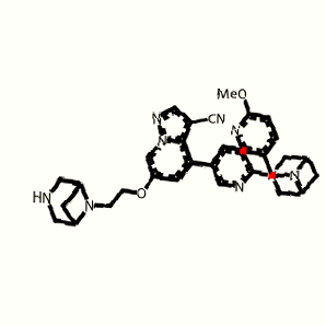 COc1ccc(CN2C3CC2CN(c2ccc(-c4cc(OCCN5C6CNCC5C6)cn5ncc(C#N)c45)cn2)C3)cn1